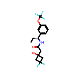 CC[C@H](NC(=O)CC1(O)CC(F)(F)C1)c1cccc(OC(F)(F)F)c1